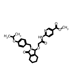 COC(=O)c1ccc(NC(=O)COC2C3=C(CCCC3)C(=O)N2Cc2ccc(OC(C)C)cc2)nc1